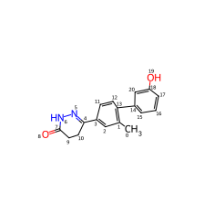 Cc1cc(C2=NNC(=O)CC2)ccc1-c1cccc(O)c1